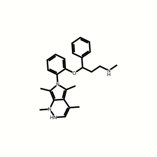 CNCCC(Oc1ccccc1-n1c(C)c2c(c1C)N(C)NC=C2C)c1ccccc1